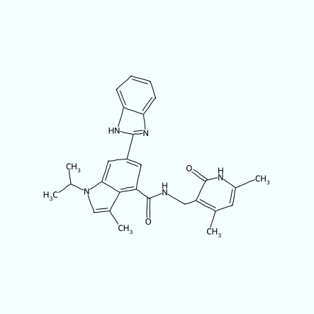 Cc1cc(C)c(CNC(=O)c2cc(-c3nc4ccccc4[nH]3)cc3c2c(C)cn3C(C)C)c(=O)[nH]1